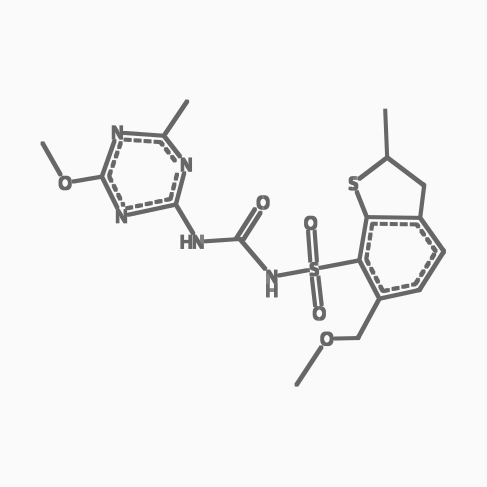 COCc1ccc2c(c1S(=O)(=O)NC(=O)Nc1nc(C)nc(OC)n1)SC(C)C2